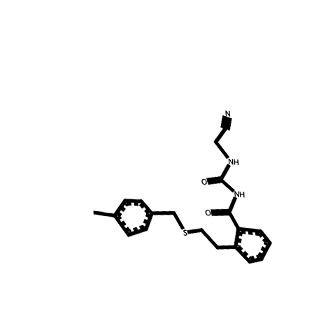 Cc1ccc(CSCCc2ccccc2C(=O)NC(=O)NCC#N)cc1